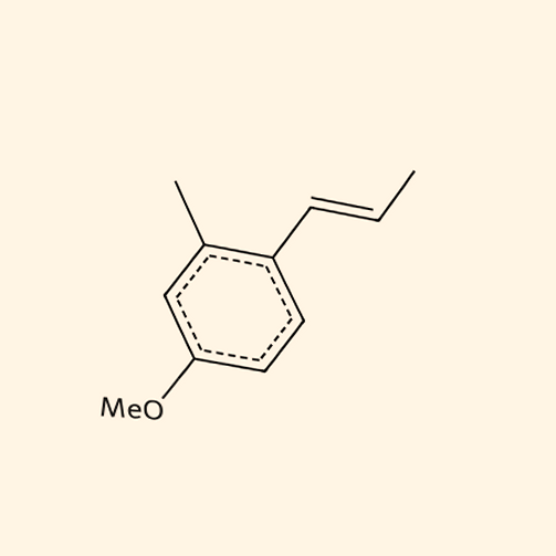 CC=Cc1ccc(OC)cc1C